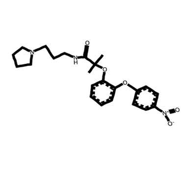 CC(C)(Oc1ccccc1Oc1ccc([N+](=O)[O-])cc1)C(=O)NCCCN1CCCC1